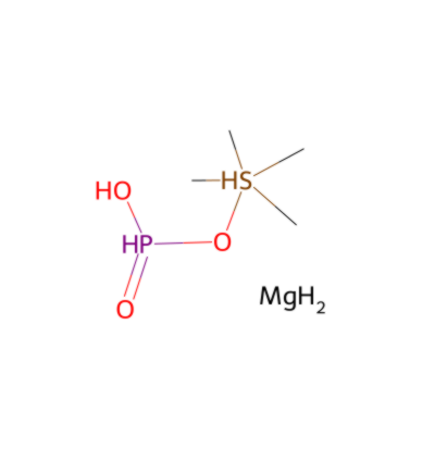 C[SH](C)(C)(C)O[PH](=O)O.[MgH2]